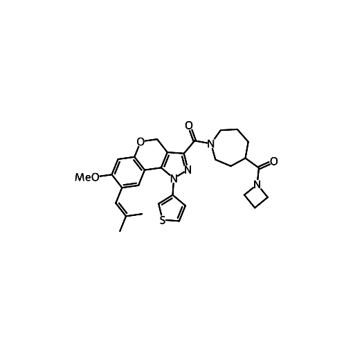 COc1cc2c(cc1C=C(C)C)-c1c(c(C(=O)N3CCCC(C(=O)N4CCC4)CC3)nn1-c1ccsc1)CO2